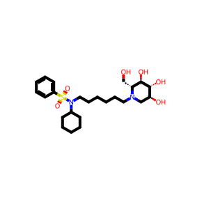 O=S(=O)(c1ccccc1)N(CCCCCCN1C[C@H](O)[C@@H](O)[C@H](O)[C@H]1CO)C1CCCCC1